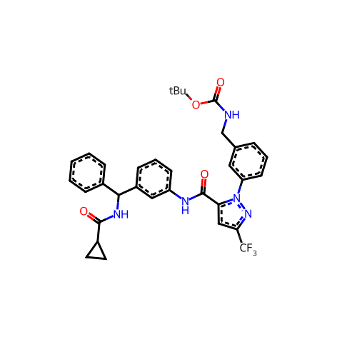 CC(C)(C)OC(=O)NCc1cccc(-n2nc(C(F)(F)F)cc2C(=O)Nc2cccc(C(NC(=O)C3CC3)c3ccccc3)c2)c1